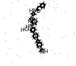 Cl.O=C(Cc1ccccc1)NC1CC(n2cnc3c(Nc4ccc(N5CCN(C6CC7(CCN(C8CNC8)CC7)C6)CC5)cc4)ncnc32)C1